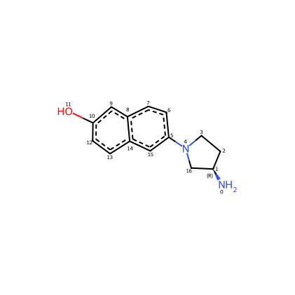 N[C@@H]1CCN(c2ccc3cc(O)ccc3c2)C1